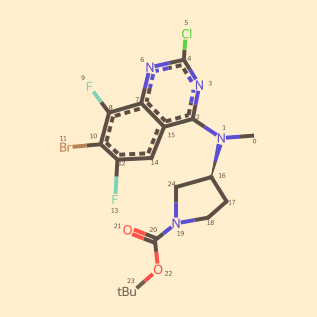 CN(c1nc(Cl)nc2c(F)c(Br)c(F)cc12)[C@H]1CCN(C(=O)OC(C)(C)C)C1